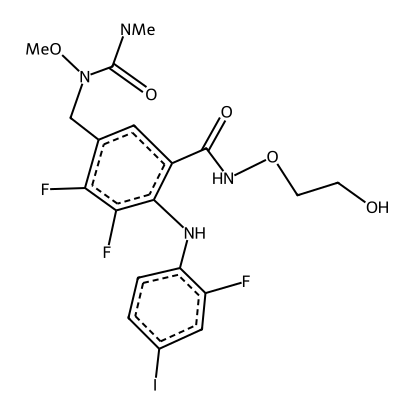 CNC(=O)N(Cc1cc(C(=O)NOCCO)c(Nc2ccc(I)cc2F)c(F)c1F)OC